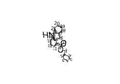 O=C(OCc1ccccc1)c1cccc2c1Cc1ccccc1N2